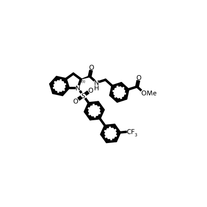 COC(=O)c1cccc(CNC(=O)[C@@H]2Cc3ccccc3N2S(=O)(=O)c2ccc(-c3cccc(C(F)(F)F)c3)cc2)c1